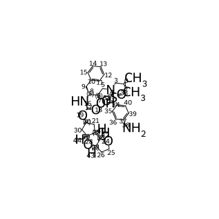 CC(C)CN(C[C@@H](O)[C@H](Cc1ccccc1)NC(=O)O[C@@H]1C[C@@H]2[C@H]3OCC[C@H]3O[C@@H]2C1)S(=O)(=O)c1ccc(N)cc1